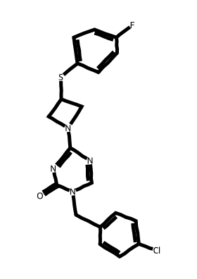 O=c1nc(N2CC(Sc3ccc(F)cc3)C2)ncn1Cc1ccc(Cl)cc1